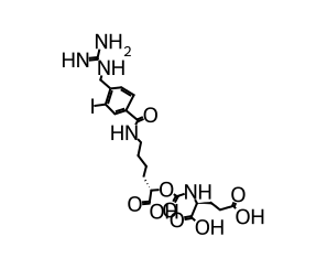 N=C(N)NCc1ccc(C(=O)NCCCC[C@H](OC(=O)N[C@@H](CCC(=O)O)C(=O)O)C(=O)O)cc1I